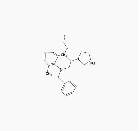 Cc1cccc(C)c1N(Cc1ccccc1)CC(COCC(C)(C)C)N1CCCC1.Cl